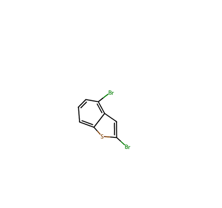 Brc1cc2c(Br)cccc2s1